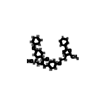 Cc1oc(-c2ccccc2)nc1CCOc1ccc(CN(CC(=O)O)C(=O)c2ccc(Oc3ccccc3)cc2)cc1